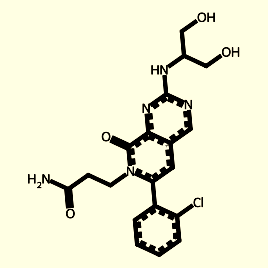 NC(=O)CCn1c(-c2ccccc2Cl)cc2cnc(NC(CO)CO)nc2c1=O